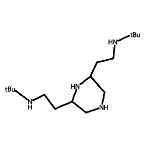 CC(C)(C)NCCC1CNCC(CCNC(C)(C)C)N1